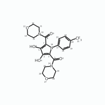 O=C(c1c(O)c(O)c(C(=O)N2CCOCC2)n1-c1ccc(C(F)(F)F)cc1)N1CCOCC1